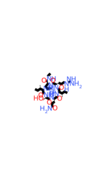 CCNC(=O)[C@@H]1CCCN1C(=O)[C@H](CCCNC(=N)N)NC(=O)[C@@H](NC(=O)[C@H](CCC(N)=O)NC(=O)[C@H](CO)NC(=O)[C@H](N)[C@@H](C)CC)[C@@H](C)CC